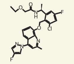 CCOCC(=O)N[C@@H](C)c1cc(F)cc(Cl)c1COc1cccc2c(-n3cc(F)cn3)cc(C)nc12